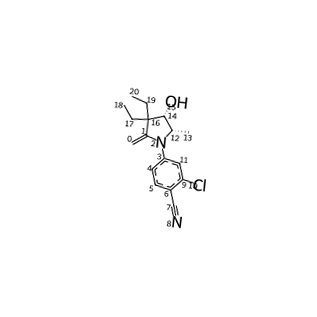 C=C1N(c2ccc(C#N)c(Cl)c2)[C@@H](C)[C@@H](O)C1(CC)CC